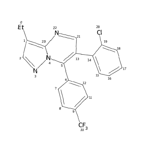 CCc1cnn2c(-c3ccc(C(F)(F)F)cc3)c(-c3ccccc3Cl)cnc12